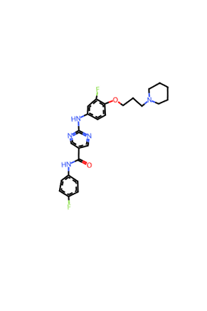 O=C(Nc1ccc(F)cc1)c1cnc(Nc2ccc(OCCCN3CCCCC3)c(F)c2)nc1